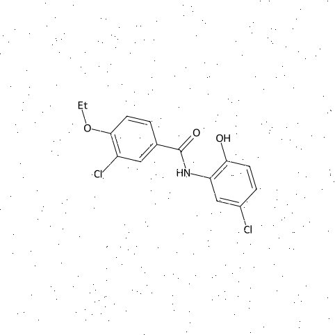 CCOc1ccc(C(=O)Nc2cc(Cl)ccc2O)cc1Cl